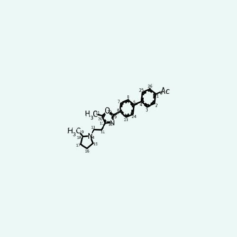 CC(=O)c1ccc(-c2ccc(-c3nc(CCN4CCCC4C)c(C)o3)cc2)cc1